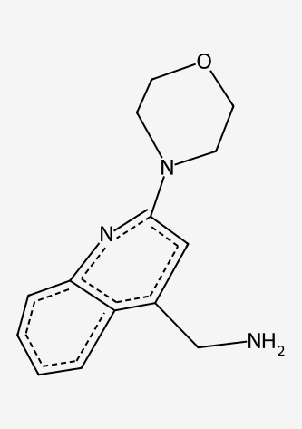 NCc1cc(N2CCOCC2)nc2ccccc12